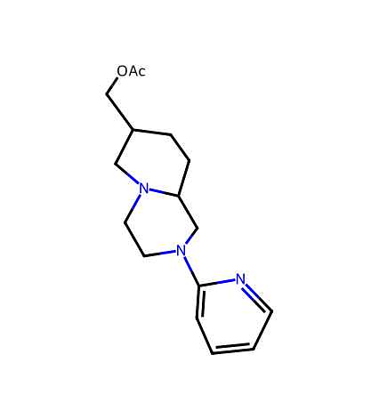 CC(=O)OCC1CCC2CN(c3ccccn3)CCN2C1